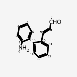 Nc1ccccc1.O=CC=Cc1ccccc1